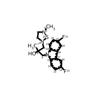 CN1CCN(CC(C)(O)Cn2c3ccc(F)cc3c3cc(F)ccc32)S1